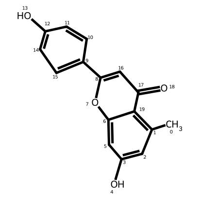 Cc1cc(O)cc2oc(-c3ccc(O)cc3)cc(=O)c12